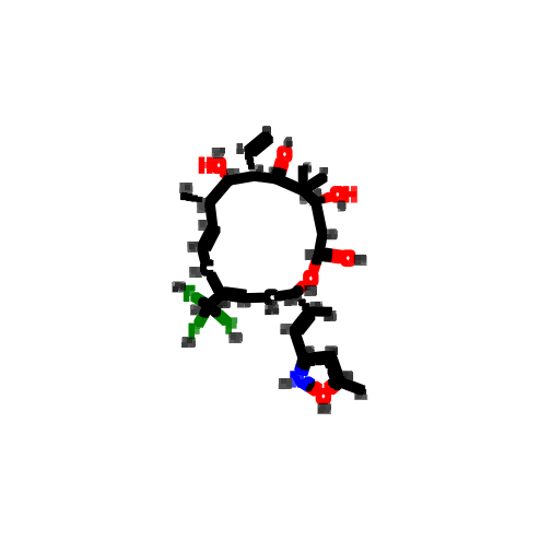 C=C[C@@H]1C(=O)C(C)(C)[C@@H](O)CC(=O)O[C@H](/C(C)=C/c2cc(C)on2)C/C=C(/C(F)(F)F)C/C=C/[C@H](C)[C@@H]1O